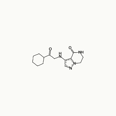 O=C1NCCn2ncc(NCC(=O)C3CCCCC3)c21